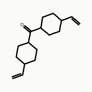 C=CC1CCC(C(=O)C2CCC(C=C)CC2)CC1